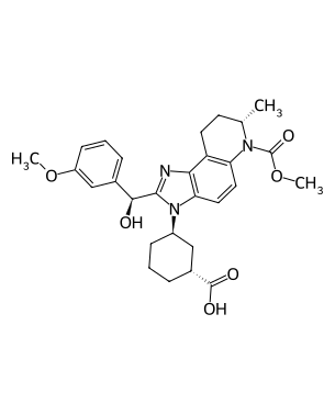 COC(=O)N1c2ccc3c(nc([C@@H](O)c4cccc(OC)c4)n3[C@@H]3CCC[C@@H](C(=O)O)C3)c2CC[C@@H]1C